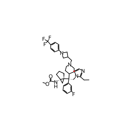 CCc1nccn1C[C@@](c1cccc(F)c1)(C1CCN(CC2CN(c3ccc(C(F)(F)F)cc3)C2)CC1)[C@@]12CCC[C@]1(NC(=O)OC)C2